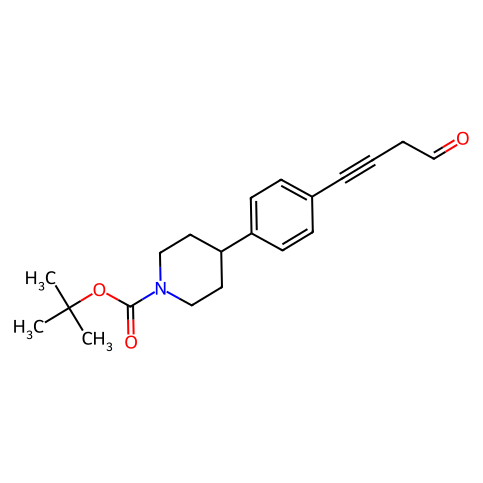 CC(C)(C)OC(=O)N1CCC(c2ccc(C#CCC=O)cc2)CC1